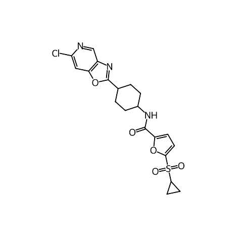 O=C(NC1CCC(c2nc3cnc(Cl)cc3o2)CC1)c1ccc(S(=O)(=O)C2CC2)o1